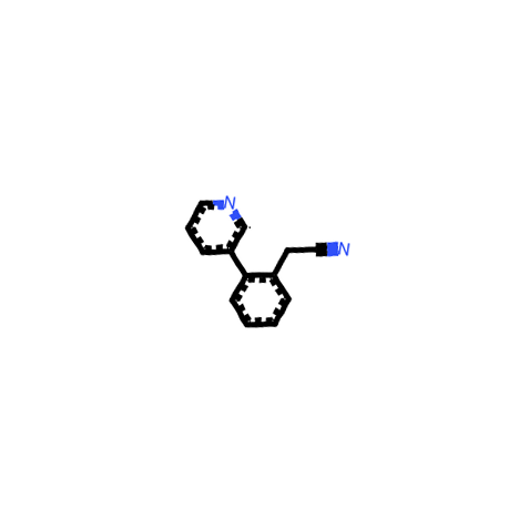 N#CCc1ccccc1-c1[c]nccc1